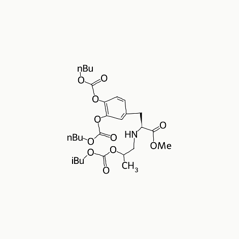 CCCCOC(=O)Oc1ccc(C[C@H](NCC(C)OC(=O)OC(C)CC)C(=O)OC)cc1OC(=O)OCCCC